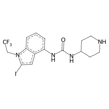 O=C(Nc1cccc2c1cc(I)n2CC(F)(F)F)NC1CCNCC1